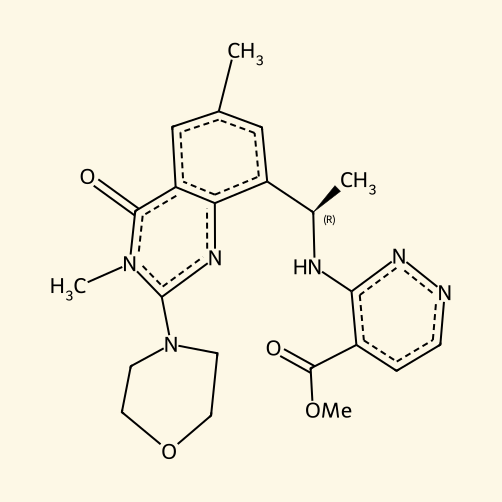 COC(=O)c1ccnnc1N[C@H](C)c1cc(C)cc2c(=O)n(C)c(N3CCOCC3)nc12